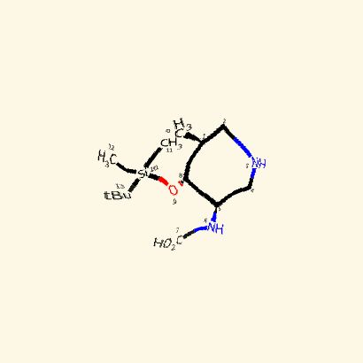 C[C@H]1CNC[C@@H](NC(=O)O)[C@@H]1O[Si](C)(C)C(C)(C)C